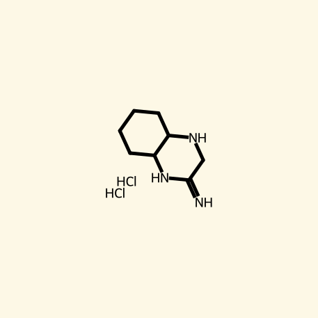 Cl.Cl.N=C1CNC2CCCCC2N1